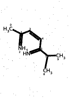 CC(=N)/C=C\C(=N)C(C)C